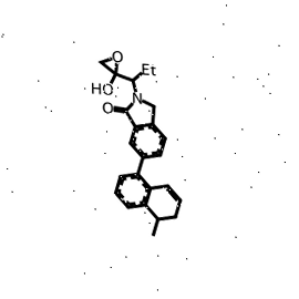 CCC(N1Cc2ccc(-c3cccc4c3C=CCC4C)cc2C1=O)C1(O)CO1